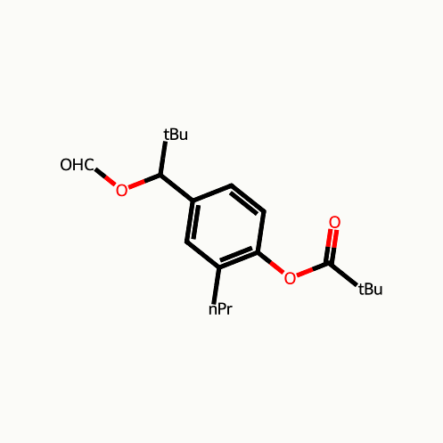 CCCc1cc(C(OC=O)C(C)(C)C)ccc1OC(=O)C(C)(C)C